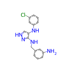 Nc1cccc(CNc2n[nH]cc2Nc2cccc(Cl)c2)c1